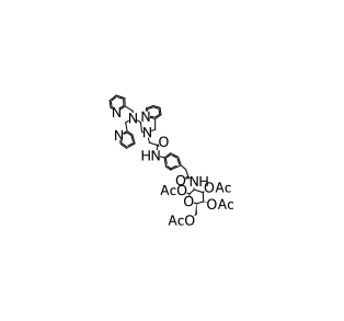 CC(=O)OC[C@H]1OC(OC(C)=O)[C@H](NC(=O)Cc2ccc(NC(=O)CN(CCN(Cc3ccccn3)Cc3ccccn3)Cc3ccccn3)cc2)[C@@H](OC(C)=O)[C@@H]1OC(C)=O